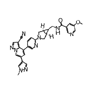 COc1cncc(C(=O)NCC2[C@H]3CN(c4ccc(-c5cc(-c6cnn(C)c6)cn6ncc(C#N)c56)cn4)C[C@@H]23)c1